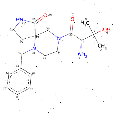 CC(C)(O)[C@H](N)C(=O)N1CCN(Cc2ccccc2)C2(CCNC2=O)C1